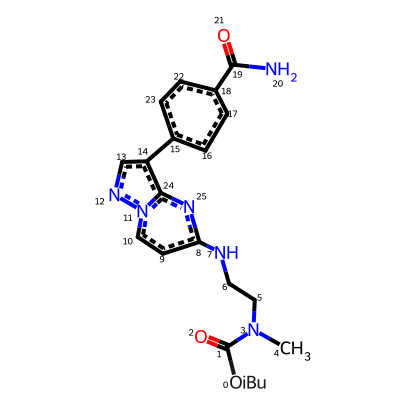 CC(C)COC(=O)N(C)CCNc1ccn2ncc(-c3ccc(C(N)=O)cc3)c2n1